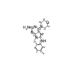 Cc1cccc(Nc2nc3c(N4CCOCC4)nc(N)nc3n2C)c1